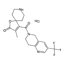 CC1=C(C(=O)N2CCc3ncc(C(F)(F)F)cc3C2)C2(CCNCC2)OC1=O.Cl